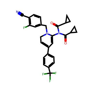 N#Cc1ccc(CN2CC=C(c3ccc(C(F)(F)F)cc3)C=C2N(C(=O)C2CC2)C(=O)C2CC2)cc1F